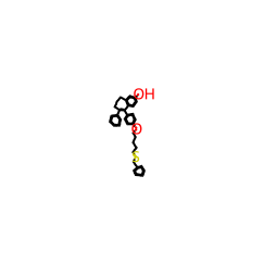 Oc1ccc2c(c1)CCCC(c1ccccc1)=C2c1ccc(OCCCCCSCc2ccccc2)cc1